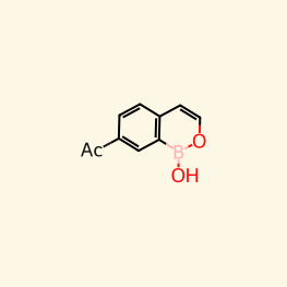 CC(=O)c1ccc2c(c1)B(O)OC=C2